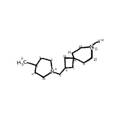 CC1CCN(CC2CC3(CCN(I)CC3)C2)CC1